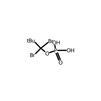 CC(C)(C)C(Br)(Br)OP(=O)(O)O